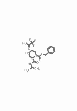 CC(C)NC(=O)[C@@H]1CNCCN1C(=O)OCc1ccccc1.O=C(O)C(F)(F)F